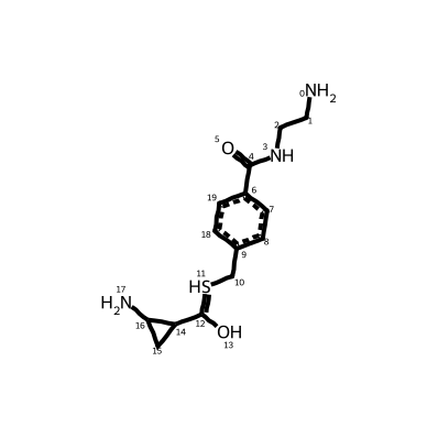 NCCNC(=O)c1ccc(C[SH]=C(O)C2CC2N)cc1